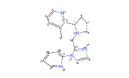 Cc1cccnc1C1CCCN1Cc1nccn1-c1ccccn1